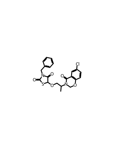 CC(COC1SC(=O)N(Cc2ccccc2)C1=O)N1COc2ccc(Cl)cc2C1=O